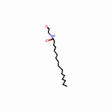 CCCCCCCCCCCCCCCC(=O)NCC=O